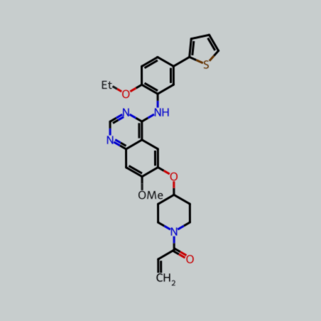 C=CC(=O)N1CCC(Oc2cc3c(Nc4cc(-c5cccs5)ccc4OCC)ncnc3cc2OC)CC1